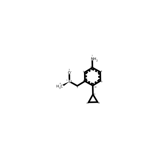 C[S@@+]([O-])Cc1cc(N)ccc1C1CC1